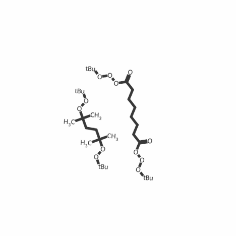 CC(C)(C)OOC(C)(C)CCC(C)(C)OOC(C)(C)C.CC(C)(C)OOOC(=O)CCCCCCC(=O)OOOC(C)(C)C